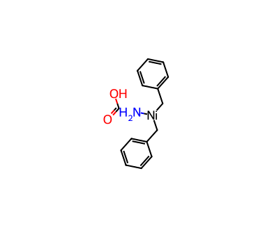 O=CO.[NH2][Ni]([CH2]c1ccccc1)[CH2]c1ccccc1